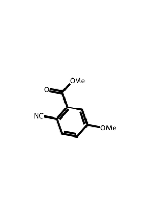 COC(=O)c1cc(OC)ccc1C#N